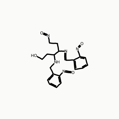 O=NCCC(/N=C/c1ccccc1N=O)C(CCO)NCc1ccccc1N=O